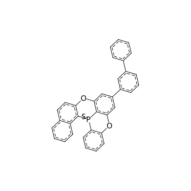 S=P12c3ccccc3Oc3cc(-c4cccc(-c5ccccc5)c4)cc(c31)Oc1ccc3ccccc3c12